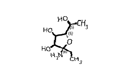 CC[C@@]1(N)O[C@@H]([C@H](C)O)C(O)C1O